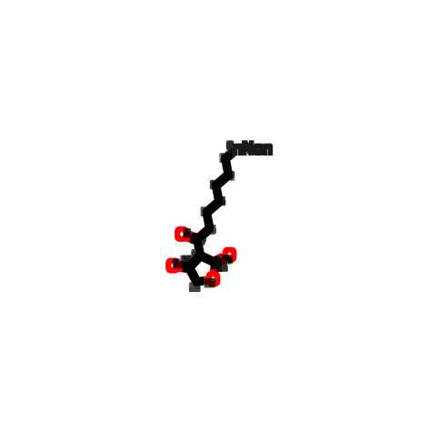 CCCCCCCCCCCCCCCC(=O)C1C(=O)COC1=O